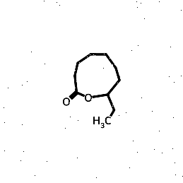 CCC1CCCCCCC(=O)O1